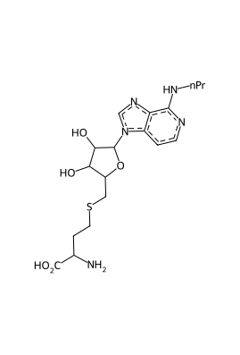 CCCNc1nccc2c1ncn2C1OC(CSCCC(N)C(=O)O)C(O)C1O